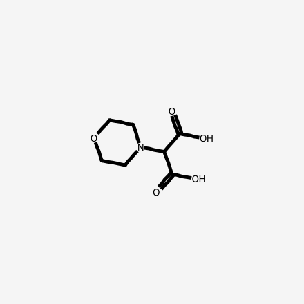 O=C(O)C(C(=O)O)N1CCOCC1